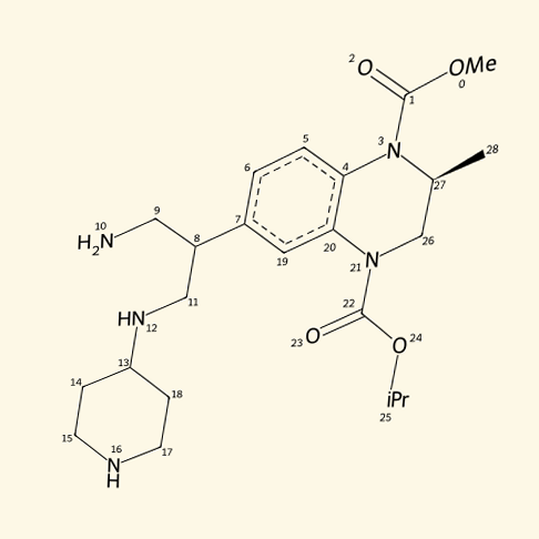 COC(=O)N1c2ccc(C(CN)CNC3CCNCC3)cc2N(C(=O)OC(C)C)C[C@@H]1C